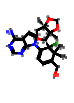 CC1(C)C(CO)=CC=C(n2ccc3c(N)ncnc32)C1(Cl)[C@@H]1OC[C@H]2OCO[C@@H]12